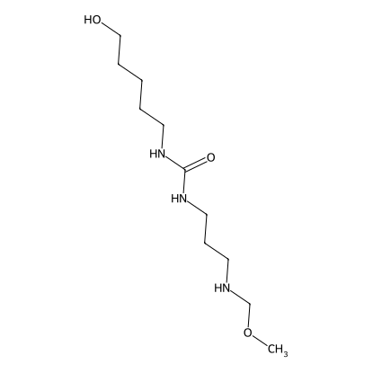 COCNCCCNC(=O)NCCCCCO